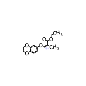 CCOC(=O)/C(C)=C\Oc1ccc2c(c1)OCCO2